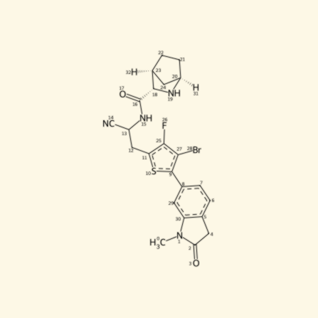 CN1C(=O)Cc2ccc(-c3sc(CC(C#N)NC(=O)[C@H]4N[C@@H]5CC[C@H]4C5)c(F)c3Br)cc21